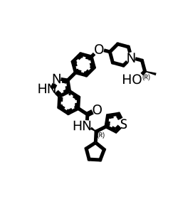 C[C@@H](O)CN1CCC(Oc2ccc(-c3n[nH]c4ccc(C(=O)N[C@@H](c5ccsc5)C5CCCC5)cc34)cc2)CC1